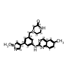 Cc1ccc2nc(Nc3cc(CN4CCNC(=O)C4)cc(-c4cnn(C)c4)c3)ncc2c1